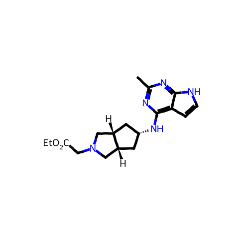 CCOC(=O)CN1C[C@H]2C[C@@H](Nc3nc(C)nc4[nH]ccc34)C[C@H]2C1